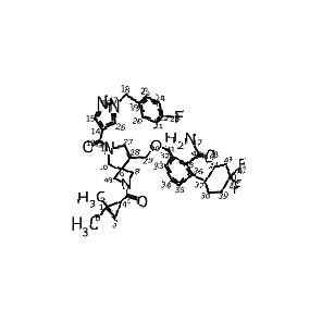 CC1(C)C[C@@H]1C(=O)N1CC2(CN(C(=O)c3cnn(Cc4ccc(F)cc4)c3)CC2COCc2cccc(C3CCC(F)(F)CC3)c2C(N)=O)C1